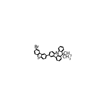 CC1(C)c2ccccc2-n2c3ccc(-c4ccc5sc6ccc(Br)cc6c5c4)cc3c3cccc1c32